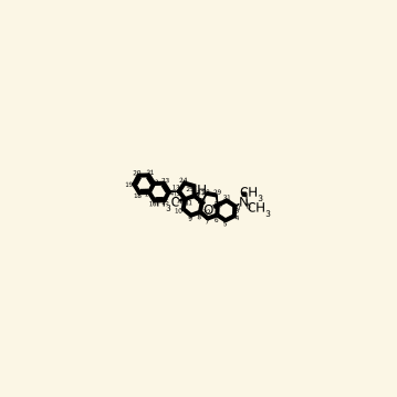 CN(C)[C@@H]1CCC2CC3CC[C@]4(C)[C@@H](c5ccc6ccccc6c5)CC[C@H]4[C@@]34CC[C@]2(C1)O4